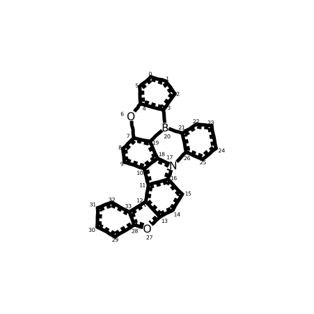 c1ccc2c(c1)Oc1ccc3c4c5c(ccc4n4c3c1B2c1ccccc1-4)oc1ccccc15